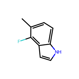 Cc1ccc2[nH]ccc2c1F